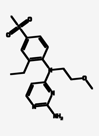 CCc1cc(S(C)(=O)=O)ccc1N(CCOC)c1ccnc(N)n1